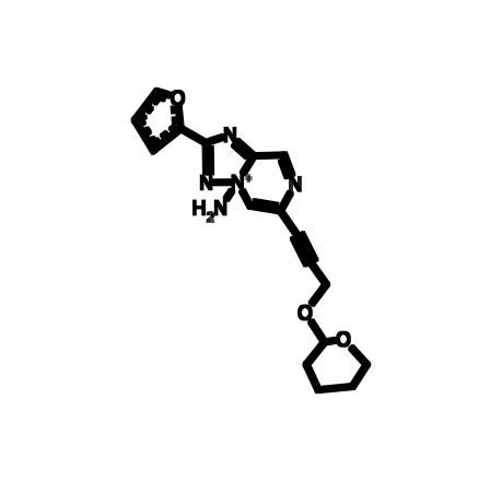 N[N+]12C=C(C#CCOC3CCCCO3)N=CC1=NC(c1ccco1)=N2